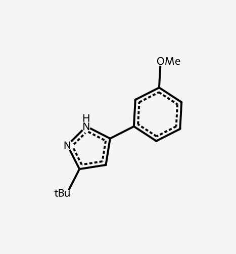 COc1cccc(-c2cc(C(C)(C)C)n[nH]2)c1